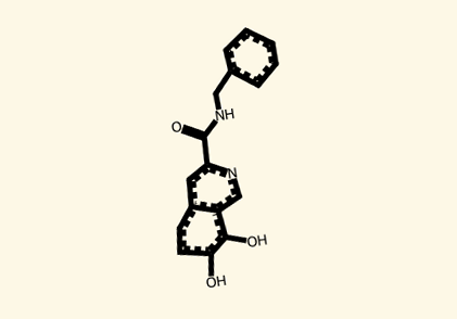 O=C(NCc1ccccc1)c1cc2ccc(O)c(O)c2cn1